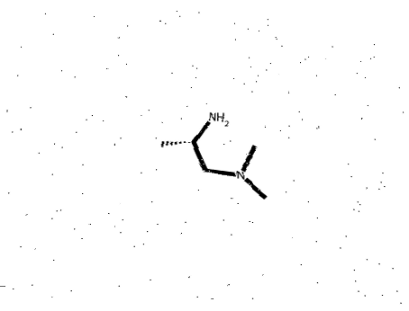 C[C@H](N)CN(C)C